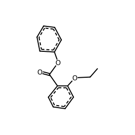 CCOc1ccccc1C(=O)Oc1ccccc1